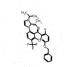 CC(C)N1C=CN2c3ccc(C(F)(F)F)c(Cl)c3C(c3nc(OCc4ccccc4)ccc3F)=N[C@@H](C)C21